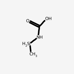 C[SiH2]NC(=O)O